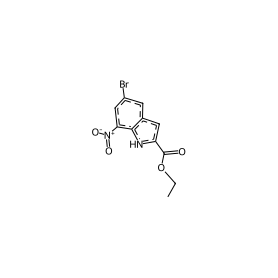 CCOC(=O)c1cc2cc(Br)cc([N+](=O)[O-])c2[nH]1